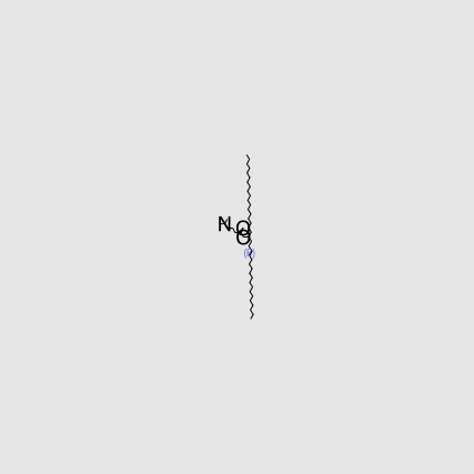 CCCCCCCCCCCCCC/C=C/CCC(CCCCCCCCCCCCCCCCCC)OC(=O)CCCN(C)C